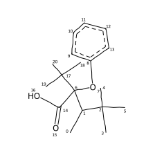 CC(C(C)(C)C)C(Oc1ccccc1)(C(=O)O)C(C)(C)C